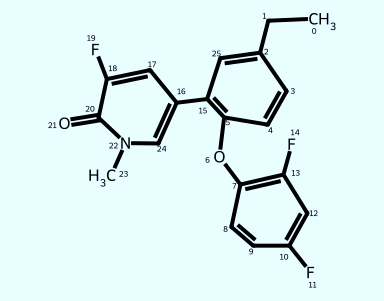 CCc1ccc(Oc2ccc(F)cc2F)c(-c2cc(F)c(=O)n(C)c2)c1